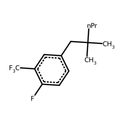 CCCC(C)(C)Cc1ccc(F)c(C(F)(F)F)c1